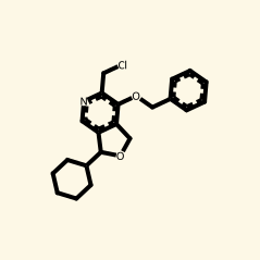 ClCc1ncc2c(c1OCc1ccccc1)COC2C1CCCCC1